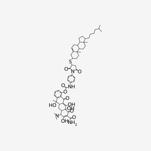 CC(C)CCCCC1CCC2C3CC=C4CC(SC5CC(=O)N(c6ccc(NC(=O)Oc7cccc8c7C(=O)C7=C(O)C9(O)C(=O)C(C(N)=O)=C(O)C(N(C)C)C9CC7C8(C)O)cc6)C5=O)CCC4(C)C3CCC12C